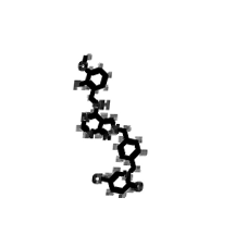 COc1cccc(CNc2ncnc3nn(Cc4ccc(Cn5cc(Cl)ccc5=O)cc4)cc23)c1F